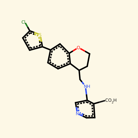 O=C(O)c1ccncc1NCC1CCOc2cc(-c3ccc(Cl)s3)ccc21